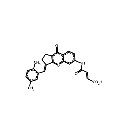 Cc1ccc(C)c(C=C2CCc3c2oc2cc(NC(=O)C=CC(=O)O)ccc2c3=O)c1